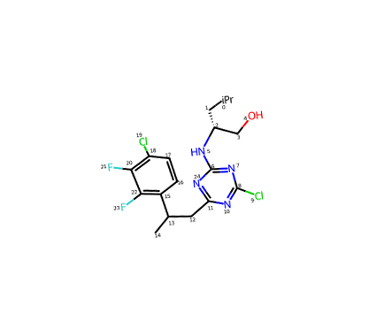 CC(C)C[C@H](CO)Nc1nc(Cl)nc(CC(C)c2ccc(Cl)c(F)c2F)n1